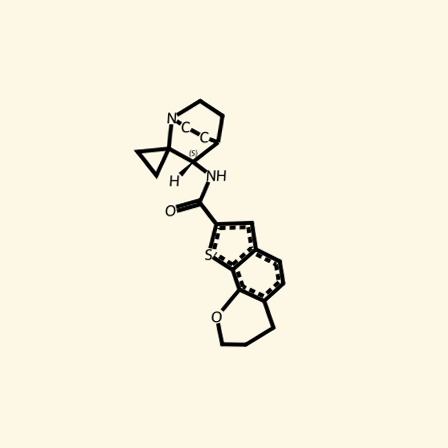 O=C(N[C@H]1C2CCN(CC2)C12CC2)c1cc2ccc3c(c2s1)OCCC3